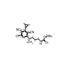 CN(CCCNC(=O)OC(C)(C)C)c1nc(Cl)c(C#N)c(C2CC2)c1C#N